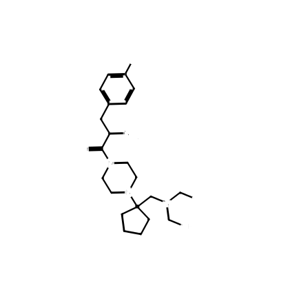 CCN(CC)CC1(N2CCN(C(=O)C(N)Cc3ccc(Cl)cc3)CC2)CCCC1